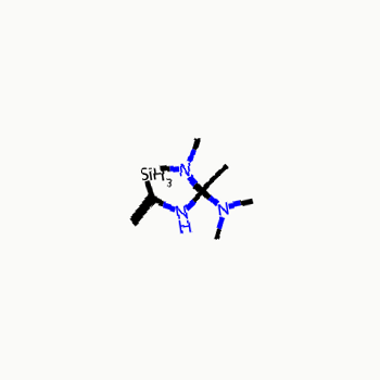 C=C([SiH3])NC(C)(N(C)C)N(C)C